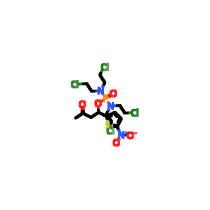 CC(=O)CC(OP(=O)(N(CCCl)CCCl)N(CCCl)CCCl)c1ccc([N+](=O)[O-])s1